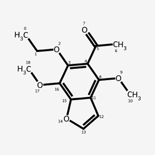 CCOc1c(C(C)=O)c(OC)c2ccoc2c1OC